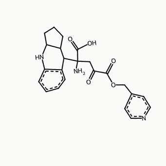 NC(CC(=O)C(=O)OCc1ccncc1)(C(=O)O)C1c2ccccc2NC2CCCC21